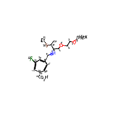 CCCCCCOCCOCC(NCC1=CC(F)=C[C@@H](C(=O)O)C=C1)C(C)SCC